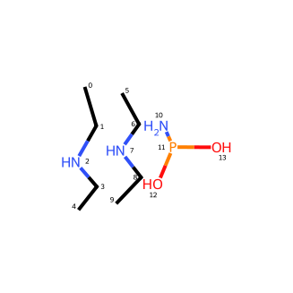 CCNCC.CCNCC.NP(O)O